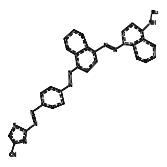 CCC(C)Nc1ccc(/N=N/c2ccc(/N=N/c3ccc(/N=N/c4nc(C#N)cs4)cc3)c3ccccc23)c2ccccc12